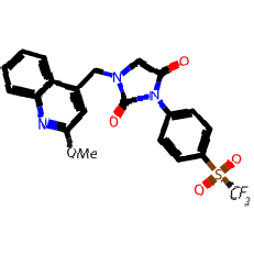 COc1cc(CN2CC(=O)N(c3ccc(S(=O)(=O)C(F)(F)F)cc3)C2=O)c2ccccc2n1